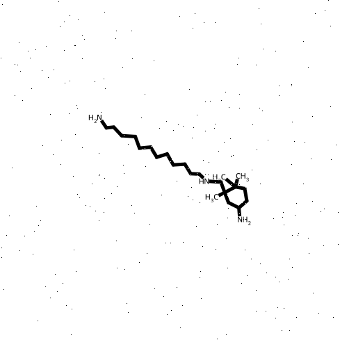 CC1(C)CCC(N)CC1(C)CNCCCCCCCCCCCCN